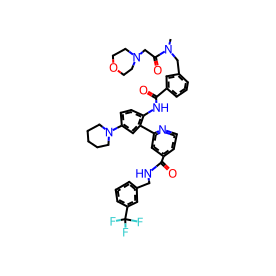 CN(Cc1cccc(C(=O)Nc2ccc(N3CCCCC3)cc2-c2cc(C(=O)NCc3cccc(C(F)(F)F)c3)ccn2)c1)C(=O)CN1CCOCC1